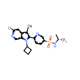 C[C@@H](NS(=O)(=O)c1ccc(-c2c(C#N)c3cc(Cl)ncc3n2C2CCC2)nc1)C(F)(F)F